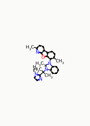 Cc1ccc2c(n1)oc1c(N3c4ccccc4N(C(C)(C)c4nccn4C)[C@@H]3C)c(C)ccc12